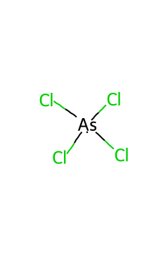 Cl[As](Cl)(Cl)Cl